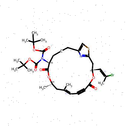 C/C(Br)=C\[C@@H]1Cc2nc(cs2)CCC[C@H](N(C(=O)OC(C)(C)C)C(=O)OC(C)(C)C)C(=O)O[C@@H](C)C/C(C)=C/C#CC(=O)O1